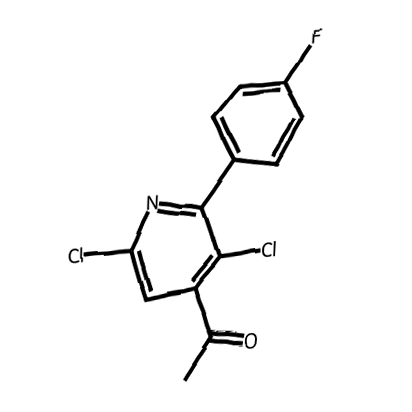 CC(=O)c1cc(Cl)nc(-c2ccc(F)cc2)c1Cl